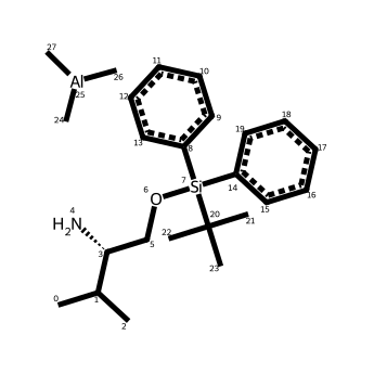 CC(C)[C@H](N)CO[Si](c1ccccc1)(c1ccccc1)C(C)(C)C.[CH3][Al]([CH3])[CH3]